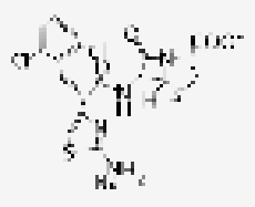 Nc1nc(/C(=C/c2c(Cl)cccc2Cl)C(=O)NC2C(=O)N3C(C(=O)[O-])CS[C@H]23)cs1.[Na+]